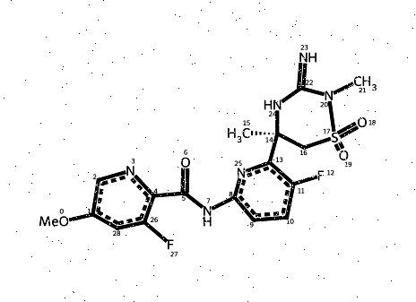 COc1cnc(C(=O)Nc2ccc(F)c([C@]3(C)CS(=O)(=O)N(C)C(=N)N3)n2)c(F)c1